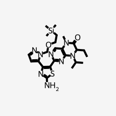 CCC1C(=O)N(C)c2cnc(-c3sc(N)nc3-c3ccnn3COCC[Si](C)(C)C)nc2N1C(C)C